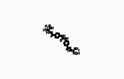 C/C(=N\NC(=N)NN)c1ccc(NC(=O)Nc2ccc(/C(C)=N/N/C(N)=N/O)cc2)cc1